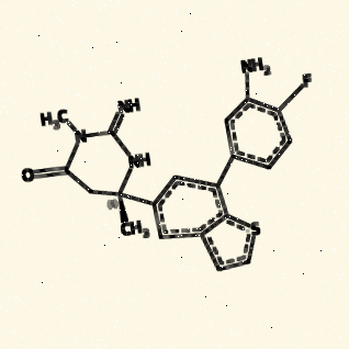 CN1C(=N)N[C@](C)(c2cc(-c3ccc(F)c(N)c3)c3sccc3c2)CC1=O